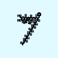 CC(=O)CNC(=O)CNC(=O)CNC(=O)CNC(=O)CNC(=O)CNC(=O)COC(=O)[C@H](Cc1ccccc1)NC(=O)CNC(=O)C(CC(=O)N[C@@H]1OC(CO)[C@@H](O)[C@H](O)C1NC(C)=O)NC(=O)OC(C)(C)C